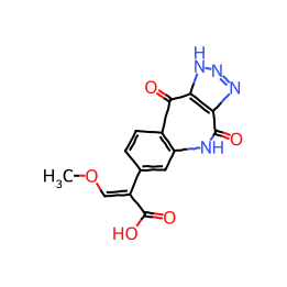 CO/C=C(/C(=O)O)c1ccc2c(=O)c3[nH]nnc3c(=O)[nH]c2c1